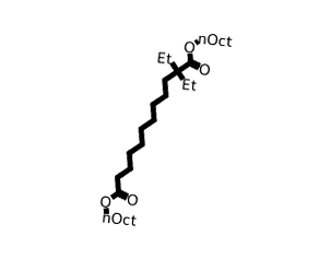 CCCCCCCCOC(=O)CCCCCCCCCC(CC)(CC)C(=O)OCCCCCCCC